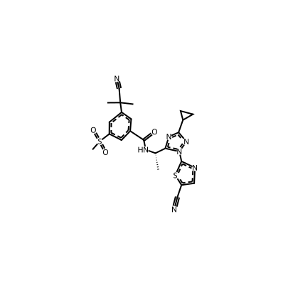 C[C@H](NC(=O)c1cc(C(C)(C)C#N)cc(S(C)(=O)=O)c1)c1nc(C2CC2)nn1-c1ncc(C#N)s1